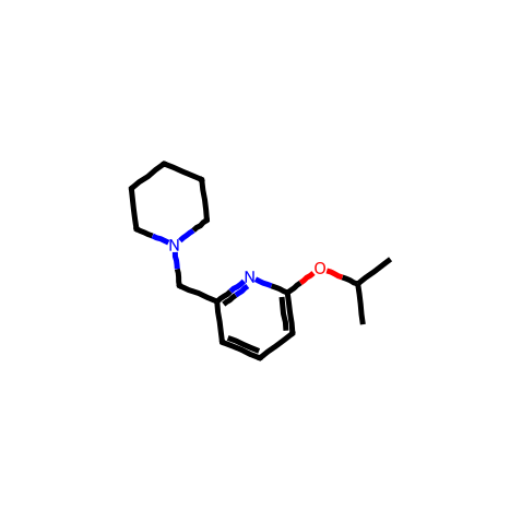 CC(C)Oc1cccc(CN2CCCCC2)n1